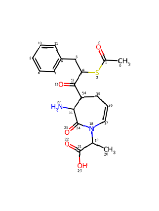 CC(=O)SC(Cc1ccccc1)C(=O)C1CC=CN(C(C)C(=O)O)C(=O)C1N